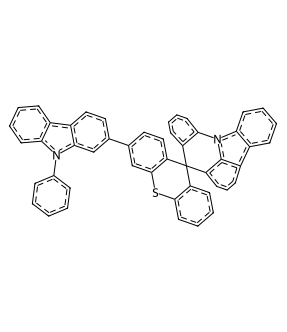 c1ccc(-n2c3ccccc3c3ccc(-c4ccc5c(c4)Sc4ccccc4C54c5ccccc5-n5c6ccccc6c6cccc4c65)cc32)cc1